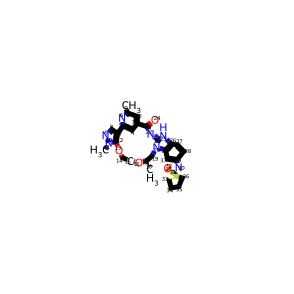 Cc1cc2cc(n1)-c1cnn(C)c1OCCO[C@@H](C)CN1/C(=N/C2=O)Nc2ccc(N=S3(=O)CCCC3)cc21